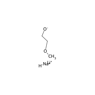 COCC[O-].[H-].[Li+].[Na+]